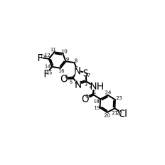 O=C(Nc1nc(=O)n(Cc2ccc(F)c(F)c2)s1)c1ccc(Cl)cc1